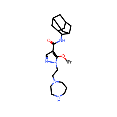 CC(C)Oc1c(C(=O)NC2C3CC4CC(C3)CC2C4)cnn1CCN1CCCNCC1